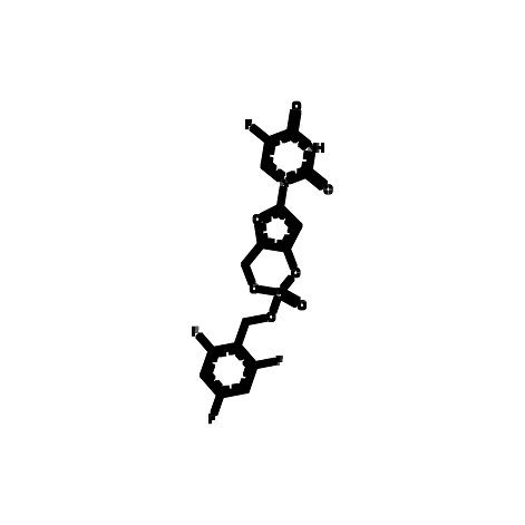 O=c1[nH]c(=O)n(-c2cc3c(o2)COP(=O)(OCc2c(F)cc(F)cc2F)O3)cc1F